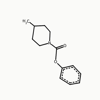 [CH2]C1CCN(C(=O)Oc2ccccc2)CC1